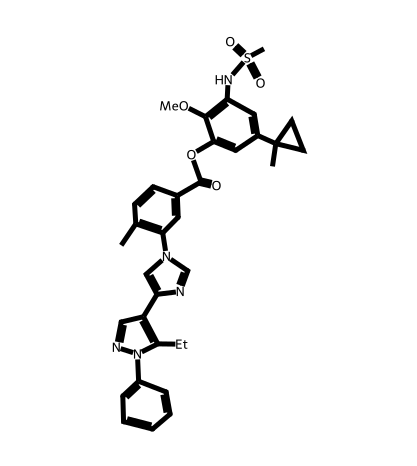 CCc1c(-c2cn(-c3cc(C(=O)Oc4cc(C5(C)CC5)cc(NS(C)(=O)=O)c4OC)ccc3C)cn2)cnn1-c1ccccc1